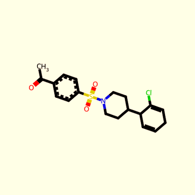 CC(=O)c1ccc(S(=O)(=O)N2CCC(C3C=CCC=C3Cl)CC2)cc1